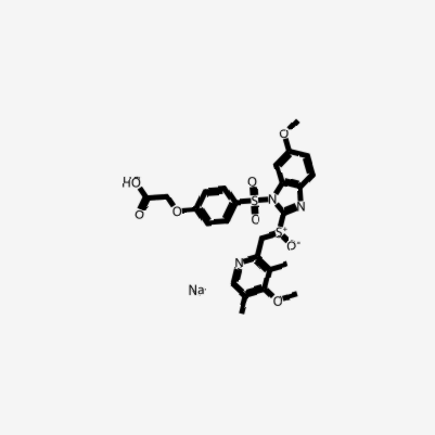 COc1ccc2nc([S+]([O-])Cc3ncc(C)c(OC)c3C)n(S(=O)(=O)c3ccc(OCC(=O)O)cc3)c2c1.[Na]